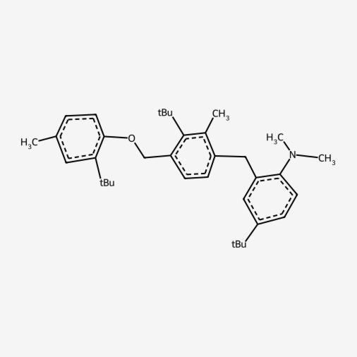 Cc1ccc(OCc2ccc(Cc3cc(C(C)(C)C)ccc3N(C)C)c(C)c2C(C)(C)C)c(C(C)(C)C)c1